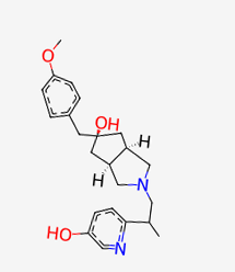 COc1ccc(C[C@]2(O)C[C@H]3CN(CC(C)c4ccc(O)cn4)C[C@H]3C2)cc1